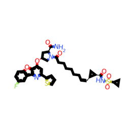 NC(=O)[C@@H]1C[C@@H](Oc2cc(-c3cccs3)nc3c2oc2ccc(F)cc23)CN1C(=O)CCCCCC/C=C\[C@@H]1C[C@@H]1C(=O)NS(=O)(=O)C1CC1